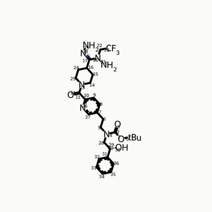 CC(C)(C)OC(=O)N(CCc1ccc(C(=O)N2CCC(/C(=N/N)N(N)CC(F)(F)F)CC2)nc1)C[C@H](O)c1ccccc1